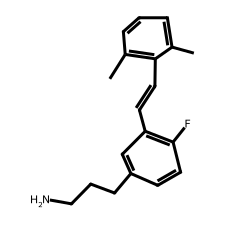 Cc1cccc(C)c1C=Cc1cc(CCCN)ccc1F